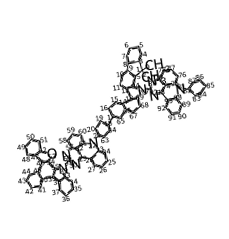 CC1(C)c2ccccc2-c2ccc3c4c5ccc(-c6ccc(N7c8ccccc8-c8nc(-n9c%10ccccc%10c%10c%11ccccc%11c%11c%12ccccc%12oc%11c%109)nc9cccc7c89)cc6)cc5ccc4n(-c4nc5c6c(cccc6n4)N(c4ccccc4)c4ccccc4-5)c3c21